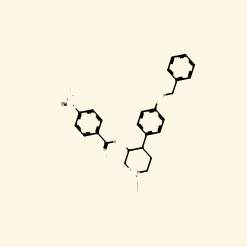 O=C(OC1CNCCC1c1ccc(OCc2ccccc2)cc1)c1ccc([N+](=O)[O-])cc1